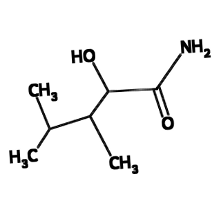 CC(C)C(C)C(O)C(N)=O